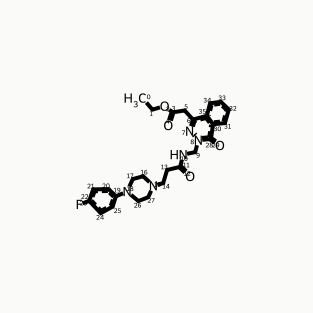 CCOC(=O)Cc1nn(CNC(=O)CCN2CCN(c3ccc(F)cc3)CC2)c(=O)c2ccccc12